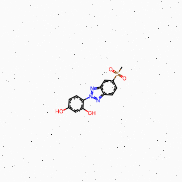 CS(=O)(=O)c1ccc2nn(-c3ccc(O)cc3O)nc2c1